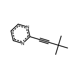 CC(C)(C)C#Cc1ncccn1